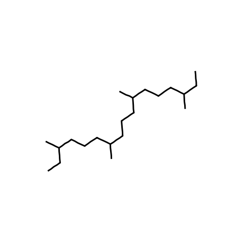 CCC(C)CCCC(C)CCCC(C)CCCC(C)CC